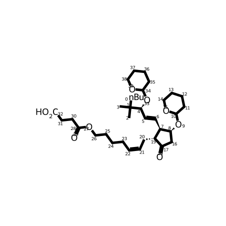 CCCCC(C)(C)[C@@H](/C=C/[C@H]1[C@H](OC2CCCCO2)CC(=O)[C@@H]1C/C=C\CCCCOC(=O)CCC(=O)O)OC1CCCCO1